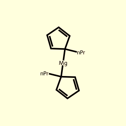 CCC[C]1([Mg][C]2(CCC)C=CC=C2)C=CC=C1